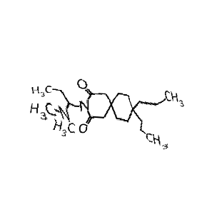 CCCC1(CCC)CCC2(CC1)CC(=O)N(C(CC)N(C)C)C(=O)C2